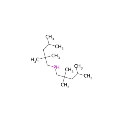 CC(C)CC(C)(C)CPCC(C)(C)CC(C)C